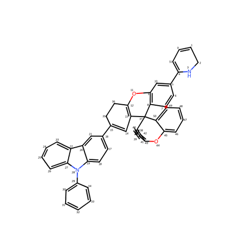 C1=CCNC(c2ccc3c(c2)OC2=C(C=C(c4ccc5c(c4)c4ccccc4n5-c4ccccc4)CC2)C32c3ccccc3Oc3ccccc32)=C1